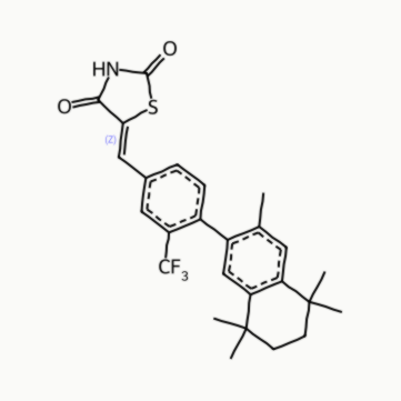 Cc1cc2c(cc1-c1ccc(/C=C3\SC(=O)NC3=O)cc1C(F)(F)F)C(C)(C)CCC2(C)C